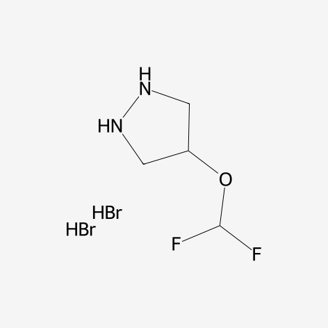 Br.Br.FC(F)OC1CNNC1